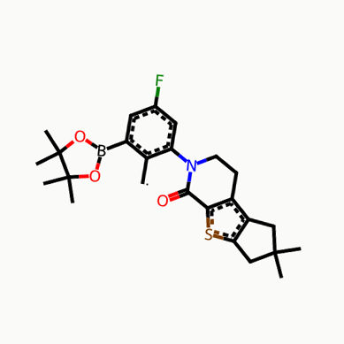 [CH2]c1c(B2OC(C)(C)C(C)(C)O2)cc(F)cc1N1CCc2c(sc3c2CC(C)(C)C3)C1=O